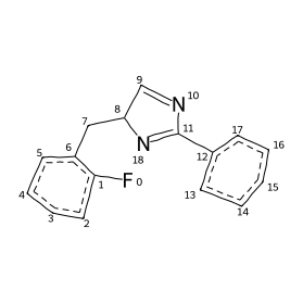 Fc1ccccc1CC1C=NC(c2ccccc2)=N1